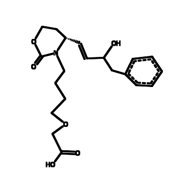 O=C(O)COCCCCN1C(=O)OCC[C@@H]1/C=C/C(O)Cc1ccccc1